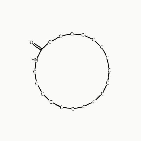 O=C1CCCCCCCCCCCCCCCCCCN1